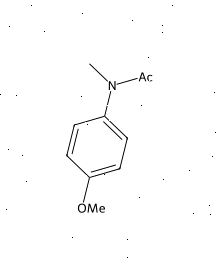 COc1ccc(N(C)C(C)=O)cc1